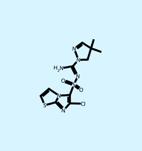 CC1(C)C=NN(/C(N)=N/S(=O)(=O)c2c(Cl)nc3sccn23)C1